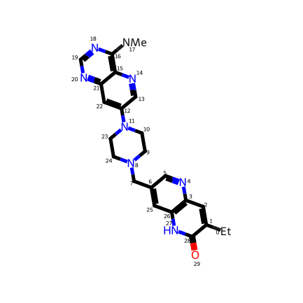 CCc1cc2ncc(CN3CCN(c4cnc5c(NC)ncnc5c4)CC3)cc2[nH]c1=O